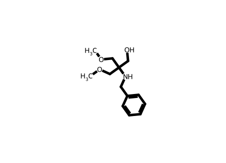 COCC(CO)(COC)NCc1ccccc1